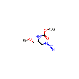 CCOC[C@@H](CN=[N+]=[N-])NC(=O)OC(C)(C)C